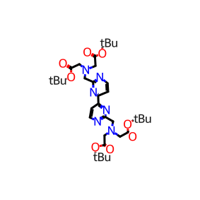 CC(C)(C)OC(=O)CN(CC(=O)OC(C)(C)C)Cc1nccc(-c2ccnc(CN(CC(=O)OC(C)(C)C)CC(=O)OC(C)(C)C)n2)n1